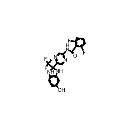 O=C(Nc1cnc(C2(C(F)(F)F)Nc3ccc(O)cc3N2)cn1)c1c(F)cccc1F